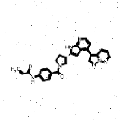 C=CC(=O)Nc1ccc(C(=O)N2CC[C@H](c3cc4c(-c5cnn6ncccc56)ccnc4[nH]3)C2)cc1